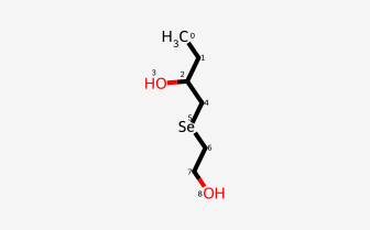 CCC(O)C[Se]CCO